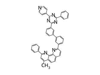 Cc1cc(-c2ccccc2)nc2c1ccc1ccc(-c3cccc(-c4cccc(-c5nc(-c6ccccc6)nc(-c6ccncc6)n5)c4)c3)nc12